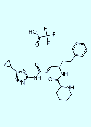 O=C(C=C[C@H](CCc1ccccc1)NC(=O)[C@@H]1CCCCN1)Nc1nnc(C2CC2)s1.O=C(O)C(F)(F)F